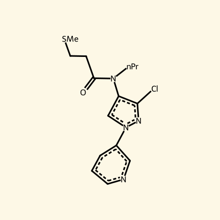 CCCN(C(=O)CCSC)c1cn(-c2cccnc2)nc1Cl